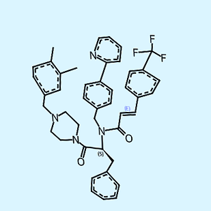 Cc1ccc(CN2CCN(C(=O)[C@H](Cc3ccccc3)N(Cc3ccc(-c4ccccn4)cc3)C(=O)/C=C/c3ccc(C(F)(F)F)cc3)CC2)cc1C